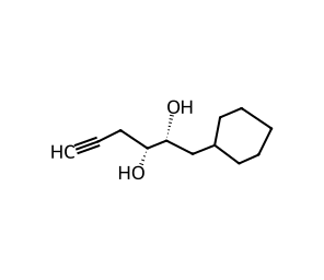 C#CC[C@@H](O)[C@H](O)CC1CCCCC1